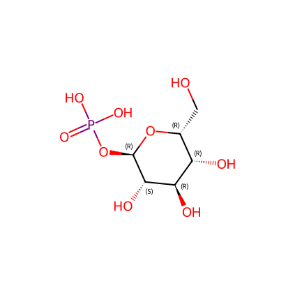 O=P(O)(O)O[C@H]1O[C@H](CO)[C@H](O)[C@@H](O)[C@@H]1O